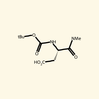 CNC(=O)[C@H](CC(=O)O)NC(=O)OC(C)(C)C